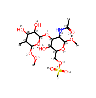 COOC1OC(OC2C(O)C(COS(C)(=O)=O)OC(OC)C2NC(C)=O)C(O)C(O)C1C